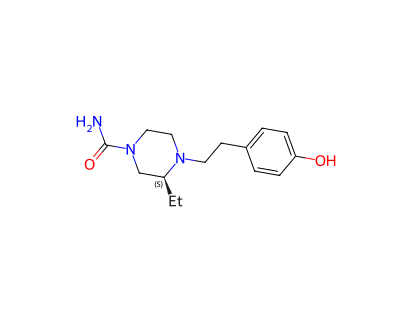 CC[C@H]1CN(C(N)=O)CCN1CCc1ccc(O)cc1